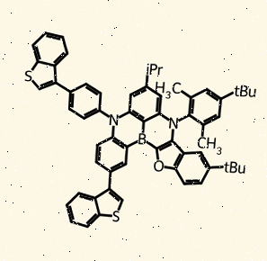 Cc1cc(C(C)(C)C)cc(C)c1N1c2cc(C(C)C)cc3c2B(c2cc(-c4csc5ccccc45)ccc2N3c2ccc(-c3csc4ccccc34)cc2)c2oc3ccc(C(C)(C)C)cc3c21